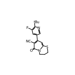 CC(C)(C)c1ncc(-c2cc3n(c(=O)c2C#N)CCCS3)cc1F